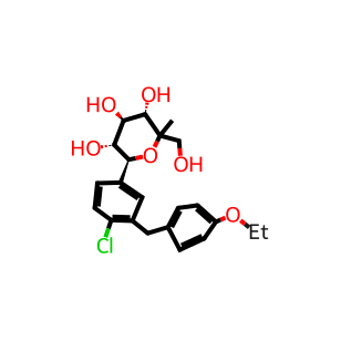 CCOc1ccc(Cc2cc([C@@H]3OC(C)(CO)[C@@H](O)[C@H](O)[C@H]3O)ccc2Cl)cc1